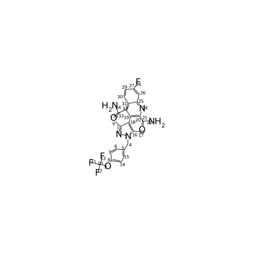 Cc1nn(Cc2ccc(OC(F)(F)F)cc2)c(C)c1-c1c(C(N)=O)nc2cc(F)ccc2c1C(N)=O